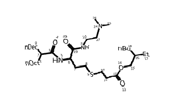 CCCCCCCCCCC(CCCCCCCC)C(=O)NC(CCSCCC(=O)OCC(CC)CCCC)C(=O)NCCN(C)C